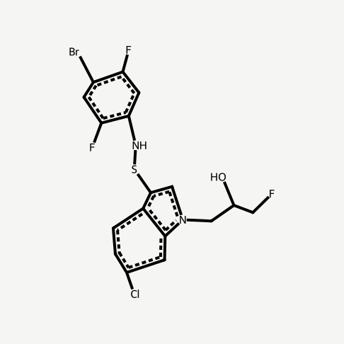 OC(CF)Cn1cc(SNc2cc(F)c(Br)cc2F)c2ccc(Cl)cc21